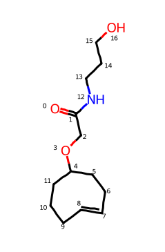 O=C(COC1CC/C=C/CCC1)NCCCO